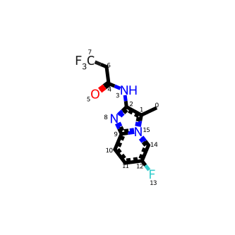 Cc1c(NC(=O)CC(F)(F)F)nc2ccc(F)cn12